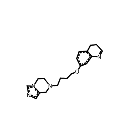 C1=Nc2cc(OCCCCN3CCn4cncc4C3)ccc2CC1